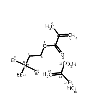 C=C(C)C(=O)OCC[N+](CC)(CC)CC.C=C(CC)C(=O)O.Cl